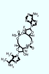 C=c1/c(=C(\C)N)ncn1[C@@H]1O[C@@H]2CO[P@](=O)(S)O[C@H]3[C@@H](F)[C@H](n4cnc5c(N)ncnc54)O[C@@H]3CO[PH](=O)O[C@H]2[C@H]1O